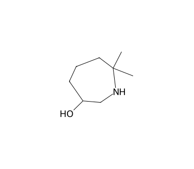 CC1(C)CCCC(O)CN1